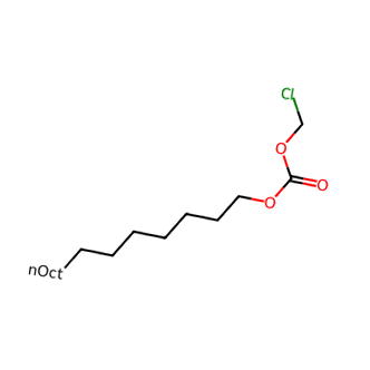 CCCCCCCCCCCCCCCOC(=O)OCCl